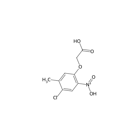 Cc1cc(OCC(=O)O)c([N+](=O)O)cc1Cl